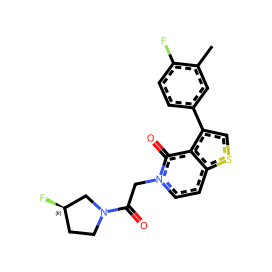 Cc1cc(-c2csc3ccn(CC(=O)N4CC[C@@H](F)C4)c(=O)c23)ccc1F